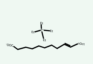 CCCCCCCCC=CCCCCCCCC(=O)[O-].CC[P+](CC)(CC)CC